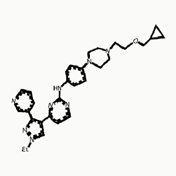 CCn1cc(-c2ccnc(Nc3ccc(N4CCN(CCOCC5CC5)CC4)cc3)n2)c(-c2cccnc2)n1